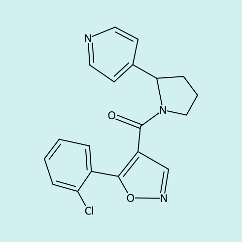 O=C(c1cnoc1-c1ccccc1Cl)N1CCCC1c1ccncc1